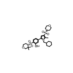 Cc1c(S(=O)(=O)N2CCOCC2)cc(-c2ccc(S(=O)(=O)N3CCOCC3(C)C)c(C(C)(C)C)c2)n1CC1CCCCC1